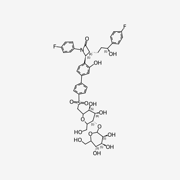 O=C1[C@H](CC[C@H](O)c2ccc(F)cc2)[C@@H](c2ccc(-c3ccc(S(=O)(=O)CC4OC(CO)[C@@H](OC5OC(CO)[C@@H](O)[C@H](O)[C@@H]5O)[C@H](O)[C@@H]4O)cc3)cc2O)N1c1ccc(F)cc1